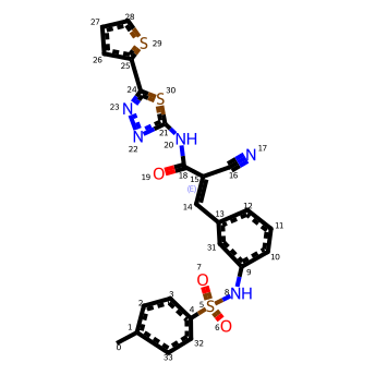 Cc1ccc(S(=O)(=O)Nc2cccc(/C=C(\C#N)C(=O)Nc3nnc(-c4cccs4)s3)c2)cc1